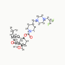 CO[C@@H]1[C@H](OC(=O)N2CCC(CN3CCN(CC(F)F)CC3)CC2)CC[C@]2(CO2)[C@H]1[C@@]1(C)O[C@@H]1CC=C(C)C